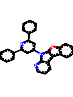 c1ccc(-c2cc(-n3c4ncccc4c4c5ccccc5oc43)cc(-c3ccccc3)n2)cc1